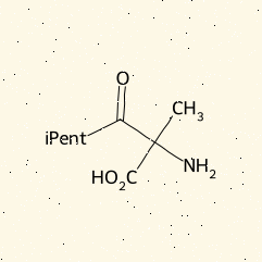 CCCC(C)C(=O)C(C)(N)C(=O)O